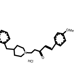 COc1ccc(C=CC(=O)CCN2CCC(Cc3ccccc3)CC2)cc1.Cl